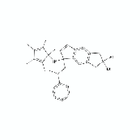 CCC1(CC)Cc2cc3c(cc2C1)[C](CC(C)c1ccccc1)([Hf][C]1(C)C(C)=C(C)C(C)=C1C)C=C3